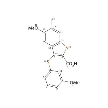 COc1cccc(Sc2c(C(=O)O)sc3cc(C)c(OC)cc23)c1